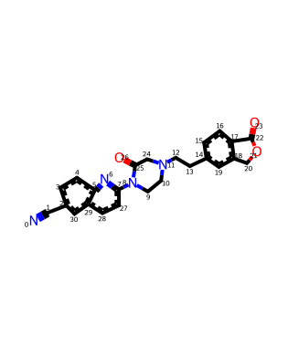 N#Cc1ccc2nc(N3CCN(CCc4ccc5c(c4)COC5=O)CC3=O)ccc2c1